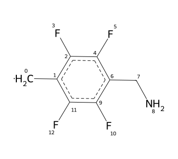 [CH2]c1c(F)c(F)c(CN)c(F)c1F